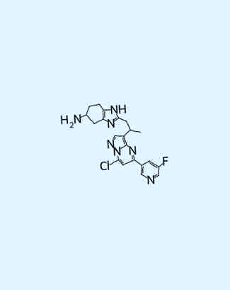 CC(Cc1nc2c([nH]1)CCC(N)C2)c1cnn2c(Cl)cc(-c3cncc(F)c3)nc12